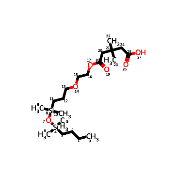 CCCC[Si](C)(C)O[Si](C)(C)CCCOCCOC(=O)CC(C)(C)CC(=O)O